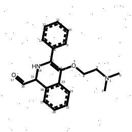 CN(C)CCOC1=C(c2ccccc2)NC(C=O)c2ccccc21